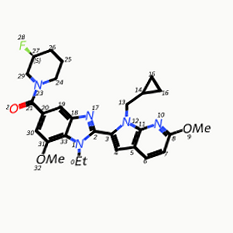 CCn1c(-c2cc3ccc(OC)nc3n2CC2CC2)nc2cc(C(=O)N3CCC[C@H](F)C3)cc(OC)c21